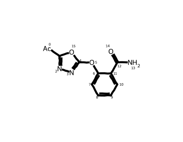 CC(=O)c1nnc(Oc2ccccc2C(N)=O)o1